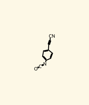 N#CC#Cc1ccc(N=C=O)cc1